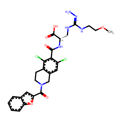 COCCN/C(=N/N)NC[C@H](NC(=O)c1c(Cl)cc2c(c1Cl)CCN(C(=O)c1cc3ccccc3o1)C2)C(=O)O